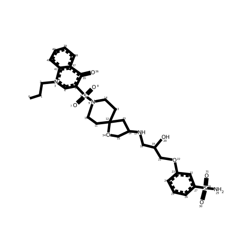 CCCn1cc(S(=O)(=O)N2CCC3(CC2)CC(NCC(O)COc2cccc(S(N)(=O)=O)c2)CO3)c(=O)c2ccccc21